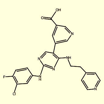 O=C(O)c1cncc(-c2cnc(Nc3ccc(F)c(Cl)c3)nc2NCCc2ccncc2)c1